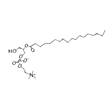 CCCCCCCCCCCCCCCCCC(=O)O[C@H](CO)COP(=O)([O-])OCC[N+](C)(C)C